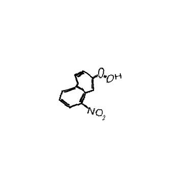 O=[N+]([O-])c1cccc2ccc(OO)cc12